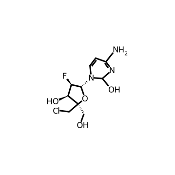 NC1=NC(O)N([C@@H]2O[C@@](CO)(CCl)[C@@H](O)[C@H]2F)C=C1